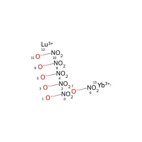 O=[N+]([O-])[O-].O=[N+]([O-])[O-].O=[N+]([O-])[O-].O=[N+]([O-])[O-].O=[N+]([O-])[O-].O=[N+]([O-])[O-].[Lu+3].[Yb+3]